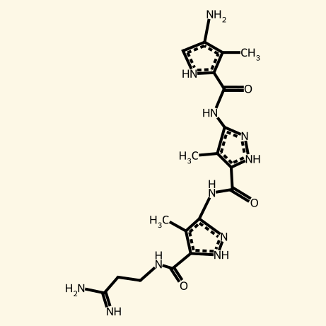 Cc1c(N)c[nH]c1C(=O)Nc1n[nH]c(C(=O)Nc2n[nH]c(C(=O)NCCC(=N)N)c2C)c1C